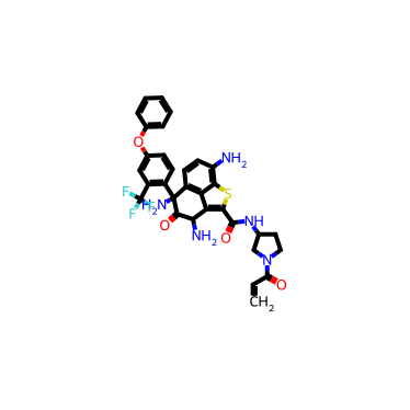 C=CC(=O)N1CCC(NC(=O)c2sc3c(N)ccc4c3c2C(N)C(=O)C4(N)c2ccc(Oc3ccccc3)cc2C(F)(F)F)C1